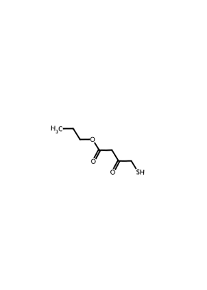 CCCOC(=O)CC(=O)CS